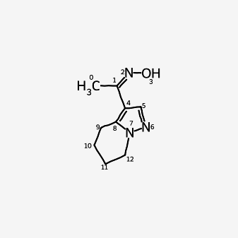 C/C(=N/O)c1cnn2c1CCCC2